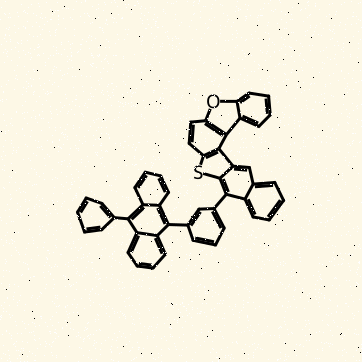 c1ccc(-c2c3ccccc3c(-c3cccc(-c4c5ccccc5cc5c4sc4ccc6oc7ccccc7c6c45)c3)c3ccccc23)cc1